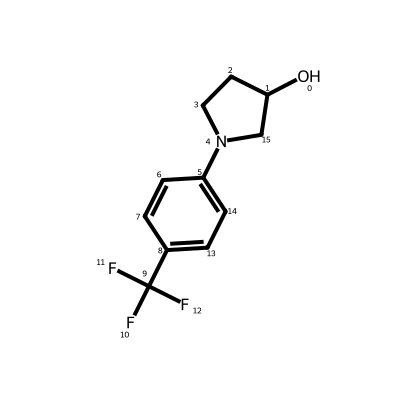 OC1CCN(c2ccc(C(F)(F)F)cc2)C1